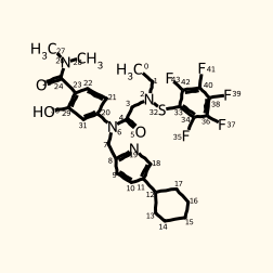 CCN(CC(=O)N(Cc1ccc(C2CCCCC2)cn1)c1ccc(C(=O)N(C)C)c(O)c1)Sc1c(F)c(F)c(F)c(F)c1F